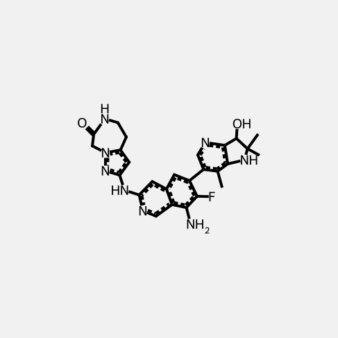 Cc1c(-c2cc3cc(Nc4cc5n(n4)CC(=O)NCC5)ncc3c(N)c2F)cnc2c1NC(C)(C)C2O